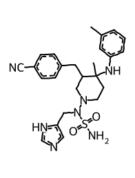 Cc1cccc(NC2(C)CCN(N(Cc3cnc[nH]3)S(N)(=O)=O)CC2Cc2ccc(C#N)cc2)c1